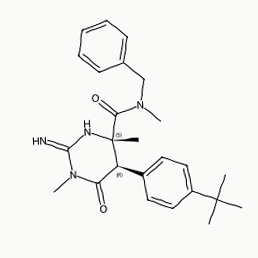 CN(Cc1ccccc1)C(=O)[C@@]1(C)NC(=N)N(C)C(=O)[C@@H]1c1ccc(C(C)(C)C)cc1